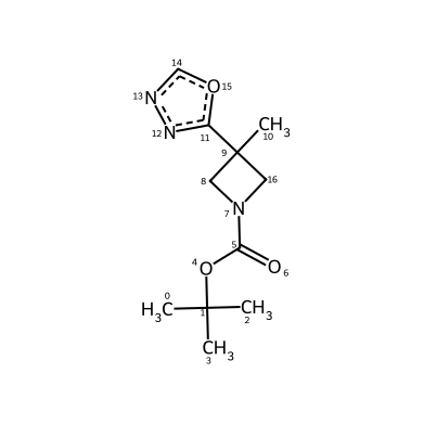 CC(C)(C)OC(=O)N1CC(C)(c2nnco2)C1